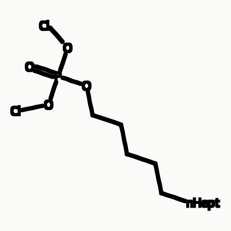 CCCCCCCCCCCCOP(=O)(OCl)OCl